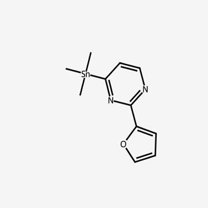 [CH3][Sn]([CH3])([CH3])[c]1ccnc(-c2ccco2)n1